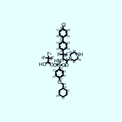 O=C(O)C(F)(F)F.O=C([C@H](NS(=O)(=O)c1ccc(OCC2CCCCC2)cc1)C(F)(F)c1ccc(-c2ccc(Cl)cc2)cc1)N1CCNCC1